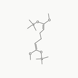 COC(=CCCC=C(OC)O[Si](C)(C)C)O[Si](C)(C)C